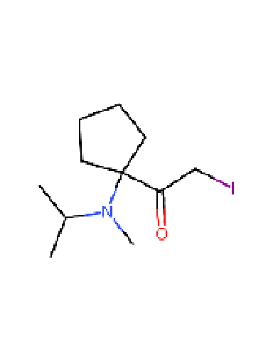 CC(C)N(C)C1(C(=O)CI)CCCC1